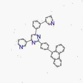 c1cncc(-c2cccc(-c3cc(-c4cccnc4)nc(-c4ccc(-c5cc6ccccc6c6ccccc56)cc4)n3)c2)c1